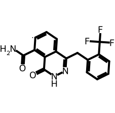 NC(=O)c1[c]ccc2c(Cc3ccccc3C(F)(F)F)n[nH]c(=O)c12